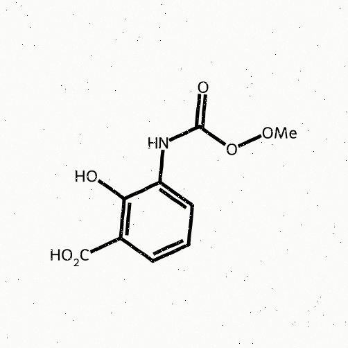 COOC(=O)Nc1cccc(C(=O)O)c1O